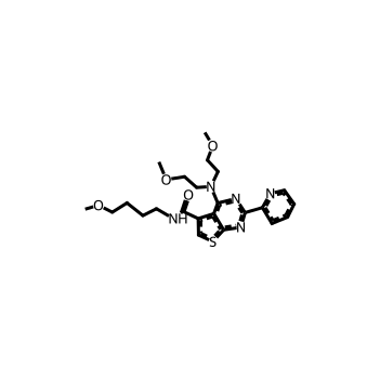 COCCCCNC(=O)c1csc2nc(-c3ccccn3)nc(N(CCOC)CCOC)c12